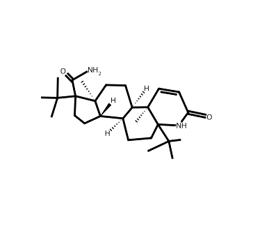 CC(C)(C)C1(C(N)=O)CC[C@H]2[C@@H]3CCC4(C(C)(C)C)NC(=O)C=C[C@]4(C)[C@@H]3CC[C@@]21C